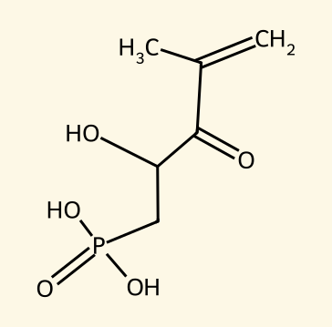 C=C(C)C(=O)C(O)CP(=O)(O)O